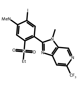 CCS(=O)(=O)c1cc(NC)c(I)cc1-c1nc2cc(C(F)(F)F)ncc2n1C